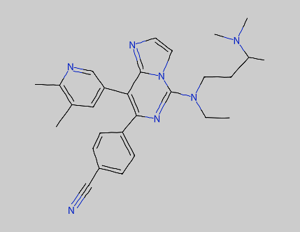 CCN(CCC(C)N(C)C)c1nc(-c2ccc(C#N)cc2)c(-c2cnc(C)c(C)c2)c2nccn12